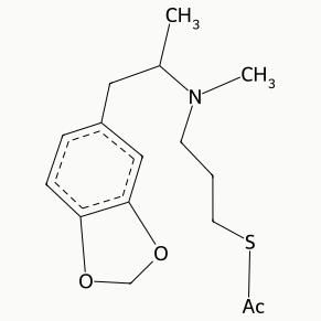 CC(=O)SCCCN(C)C(C)Cc1ccc2c(c1)OCO2